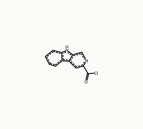 O=C(Cl)c1cc2c(cn1)[nH]c1ccccc12